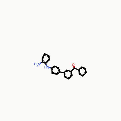 Nc1ccccc1Nc1ccc(-c2cccc(C(=O)c3ccccc3)c2)cc1